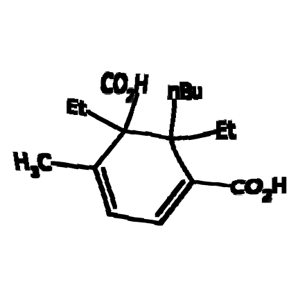 CCCCC1(CC)C(C(=O)O)=CC=C(C)C1(CC)C(=O)O